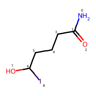 NC(=O)CCCC(O)I